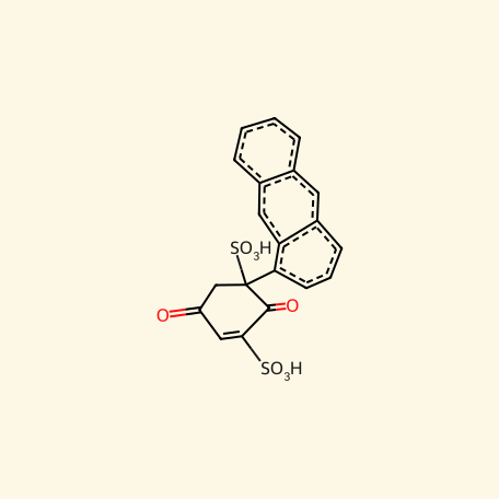 O=C1C=C(S(=O)(=O)O)C(=O)C(c2cccc3cc4ccccc4cc23)(S(=O)(=O)O)C1